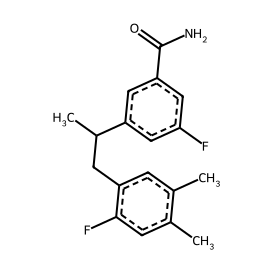 Cc1cc(F)c(CC(C)c2cc(F)cc(C(N)=O)c2)cc1C